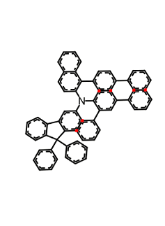 c1ccc(-c2ccc(-c3c(N(c4ccc5c(c4)-c4ccccc4C5(c4ccccc4)c4ccccc4)c4ccc(-c5ccccc5)cc4-c4ccccc4)ccc4ccccc34)cc2)cc1